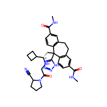 CNC(=O)c1ccc2c(c1)CCc1cc(C(=O)NC)ccc1C2(C[C@H](NCC(=O)N1CCCC1C#N)C1CCC1)c1nnn[nH]1